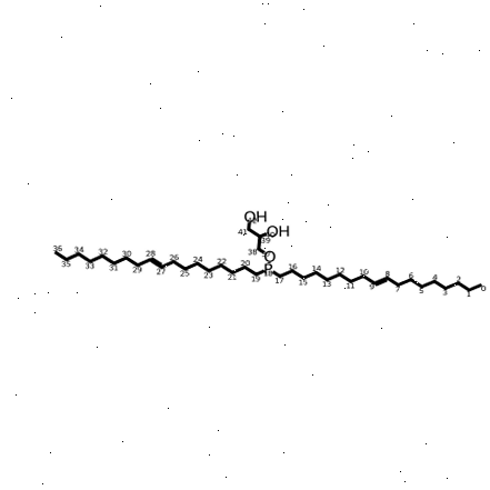 CCCCCCCCC=CCCCCCCCCP(CCCCCCCCC=CCCCCCCCC)OCC(O)CO